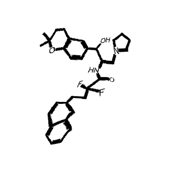 CC1(C)CCc2cc(C(O)C(CN3CCCC3)NC(=O)C(F)(F)CCc3ccc4ccccc4c3)ccc2O1